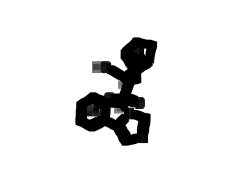 CC(C)(C)OC(=O)N1CC2CCC(C1)C21C[C@@H]([C@@H]2c3ccccc3-c3cncn32)C1O